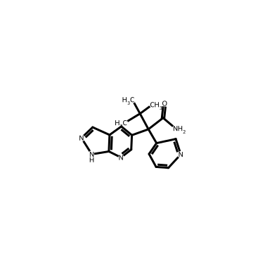 CC(C)(C)C(C(N)=O)(c1cccnc1)c1cnc2[nH]ncc2c1